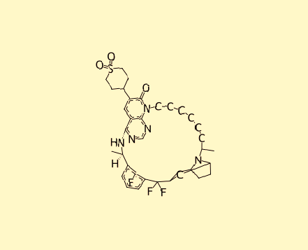 CC1CCCCCCn2c(=O)c(C3CCS(=O)(=O)CC3)cc3c(ncnc32)N[C@H](C)c2cccc(c2F)C(F)(F)C2CC3CCC(C2)N13